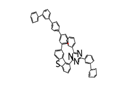 c1ccc(-c2cccc(-c3ccc(-c4cccc(-c5ccc6sc7cccc(-c8nc(-c9ccccc9)nc(-c9cccc(-c%10ccccc%10)c9)n8)c7c6c5)c4)cc3)c2)cc1